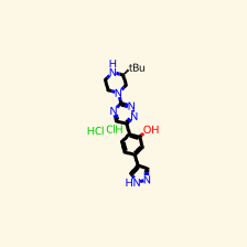 CC(C)(C)[C@H]1CN(c2ncc(-c3ccc(-c4cn[nH]c4)cc3O)nn2)CCN1.Cl.Cl